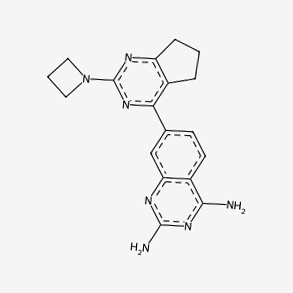 Nc1nc(N)c2ccc(-c3nc(N4CCC4)nc4c3CCC4)cc2n1